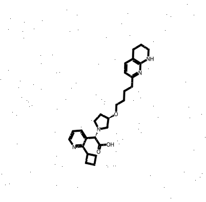 O=C(O)[C@H](c1cccnc1C1CCC1)N1CC[C@@H](OCCCCc2ccc3c(n2)NCCC3)C1